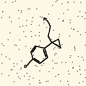 CC(C)CCC1(c2ccc(Cl)cc2)CC1